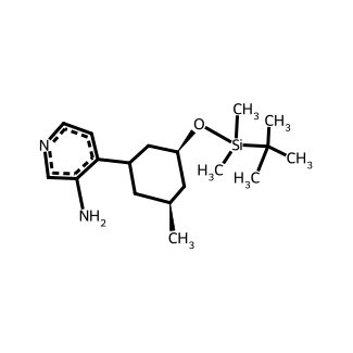 C[C@H]1CC(c2ccncc2N)C[C@@H](O[Si](C)(C)C(C)(C)C)C1